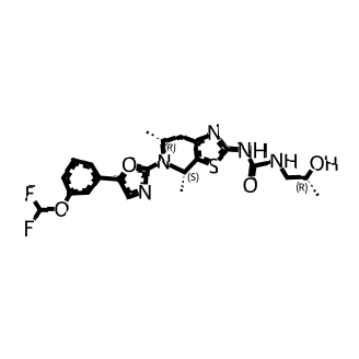 C[C@@H]1Cc2nc(NC(=O)NC[C@@H](C)O)sc2[C@H](C)N1c1ncc(-c2cccc(OC(F)F)c2)o1